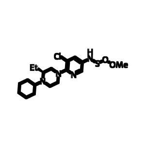 CC[C@H]1CN(c2ncc(NSOOC)cc2Cl)CCN1C1CCCCC1